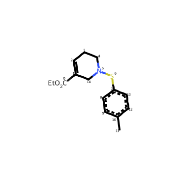 CCOC(=O)C1=CCCN(Sc2ccc(C)cc2)C1